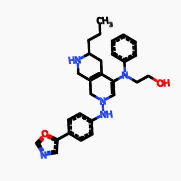 CCCC1CC2=C(CN1)CN(Nc1ccc(-c3cnco3)cc1)C=C2N(CCO)c1ccccc1